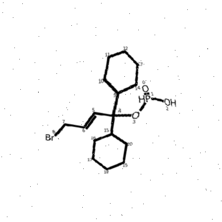 O=[PH](O)OC(C=CCBr)(C1CCCCC1)C1CCCCC1